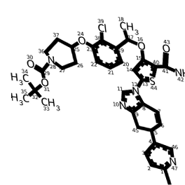 Cc1ccc(C2C=Cc3c(ncn3-c3cc(OC(C)c4cccc(OC5CCN(C(=O)OC(C)(C)C)CC5)c4Cl)c(C(N)=O)s3)C2)cn1